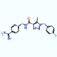 Cc1c(C(=O)NCc2ccc(C(=N)N)cc2)nnn1Cc1ccc(F)cc1